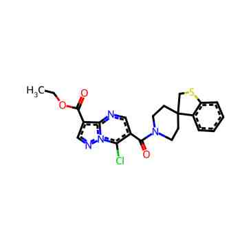 CCOC(=O)c1cnn2c(Cl)c(C(=O)N3CCC4(CC3)CSc3ccccc34)cnc12